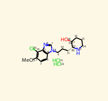 COc1ccc2c(ncn2CCC[C@H]2NCCC[C@@H]2O)c1Cl.Cl.Cl